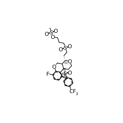 CS(=O)(=O)OCCCS(=O)(=O)CC[C@@H]1OCC[C@@]2(S(=O)(=O)c3ccc(C(F)(F)F)cc3)c3c(F)ccc(F)c3OCC12